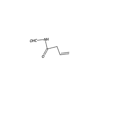 C=CCC(=O)NC=O